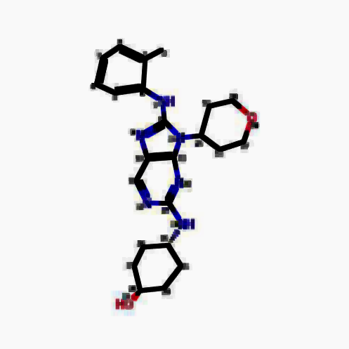 Cc1ccccc1Nc1nc2cnc(N[C@H]3CC[C@H](O)CC3)nc2n1C1CCOCC1